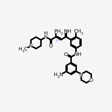 Cc1ccc(NC(=O)c2cc(N)cc(N3CCOCC3)c2)cc1C(=N)/C=C(\P)C(=O)NC1CCN(C)CC1